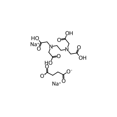 O=C(O)CN(CCN(CC(=O)O)CC(=O)O)CC(=O)O.O=C([O-])CCC(=O)[O-].[Na+].[Na+]